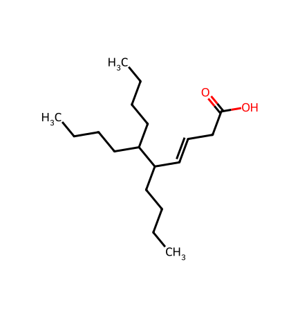 CCCCC(C=CCC(=O)O)C(CCCC)CCCC